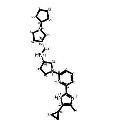 Cc1nc(-c2cccc(N3CC[C@@H](NC[C@@H]4CCN(C5CCCC5)C4)C3)n2)[nH]c1C1CC1